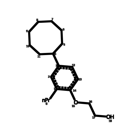 CCCc1cc(C2CCCCCCC2)ccc1OCCO